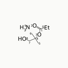 CCC(=O)OC(C)(C)CO.N